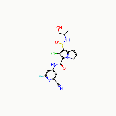 CC(CO)N[S+]([O-])c1c(Cl)c(C(=O)Nc2cc(F)nc(C#N)c2)n2c1C=CC2